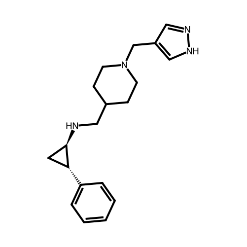 c1ccc([C@@H]2C[C@H]2NCC2CCN(Cc3cn[nH]c3)CC2)cc1